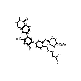 COC1CCN(Cc2cc(-c3cc(-c4ccc5c(c4)CCNC5=O)c(N)nc3F)ccc2OCCCC(F)F)CC1